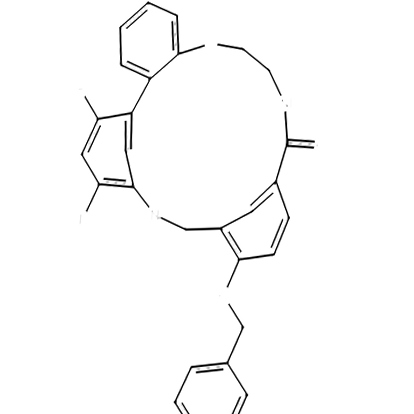 O=C1NCCOc2ccccc2-c2cc(c(F)cc2F)NCc2cc1ccc2OCc1ccccc1